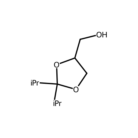 CC(C)C1(C(C)C)OCC(CO)O1